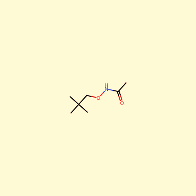 CC(=O)NOCC(C)(C)C